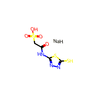 O=C(CS(=O)(=O)O)Nc1nnc(S)s1.[NaH]